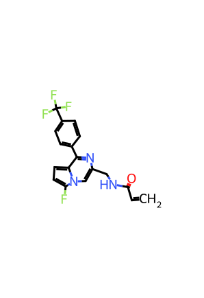 C=CC(=O)NCc1cn2c(F)ccc2c(-c2ccc(C(F)(F)F)cc2)n1